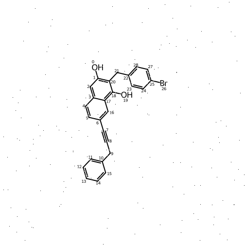 Oc1cc2ccc(C#CCc3ccccc3)cc2c(O)c1Cc1ccc(Br)cc1